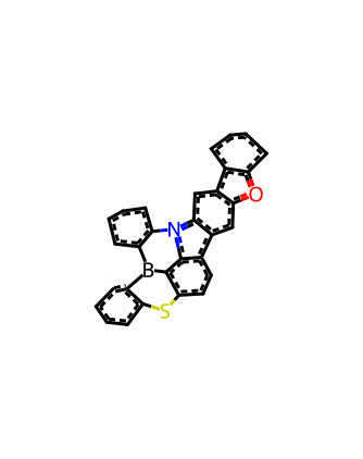 c1ccc2c(c1)Sc1ccc3c4cc5oc6ccccc6c5cc4n4c3c1B2c1ccccc1-4